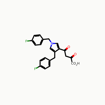 O=C(O)C(=O)CC(=O)c1cn(Cc2ccc(F)cc2)cc1Cc1ccc(F)cc1